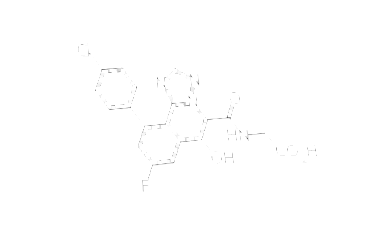 O=C(O)CNC(=O)c1c(O)c2cc(F)cc(-c3ccc(Cl)cc3)c2c2ncnn12